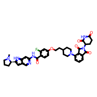 CN1CCC[C@@H]1c1cc2cnc(NC(=O)c3ccc(OCCC4CCN(c5cccc6c5C(=O)N(C5CCC(=O)NC5=O)C6=O)CC4)cc3F)cc2[nH]1